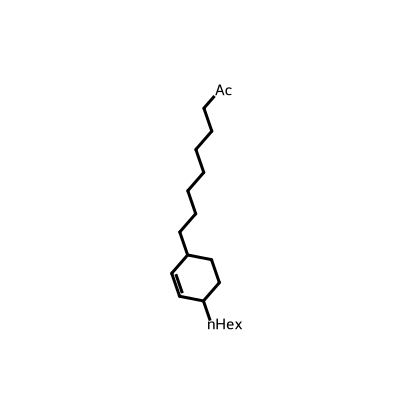 CCCCCCC1C=CC(CCCCCCCC(C)=O)CC1